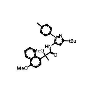 COc1ccc(C(C)(OC)C(=O)Nc2cc(C(C)(C)C)nn2-c2ccc(C)cc2)c2ccccc12